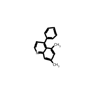 Cc1cc(C)c2c(-c3ccccc3)ccnc2c1